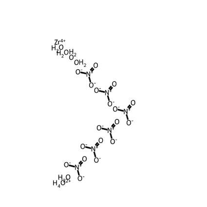 O.O.O.O.O.O=[N+]([O-])[O-].O=[N+]([O-])[O-].O=[N+]([O-])[O-].O=[N+]([O-])[O-].O=[N+]([O-])[O-].O=[N+]([O-])[O-].[OH4+2].[Zr+4]